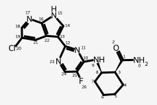 NC(=O)[C@H]1CCCC[C@H]1Nc1nc(-c2c[nH]c3ncc(Cl)cc23)ncc1F